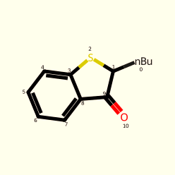 CCCCC1Sc2ccccc2C1=O